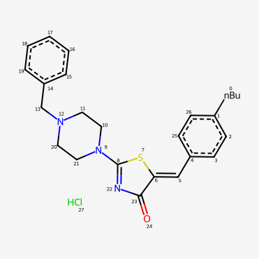 CCCCc1ccc(/C=C2\SC(N3CCN(Cc4ccccc4)CC3)=NC2=O)cc1.Cl